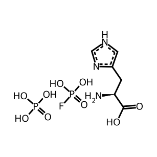 N[C@@H](Cc1c[nH]cn1)C(=O)O.O=P(O)(O)F.O=P(O)(O)O